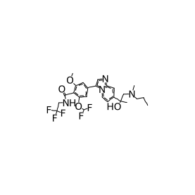 CCCN(C)CC(C)(O)c1ccn2c(-c3cc(OC)c(C(=O)NCC(F)(F)F)c(OC(F)F)c3)cnc2c1